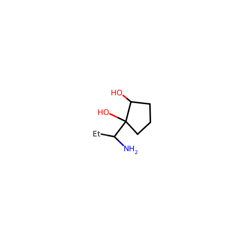 CCC(N)C1(O)CCCC1O